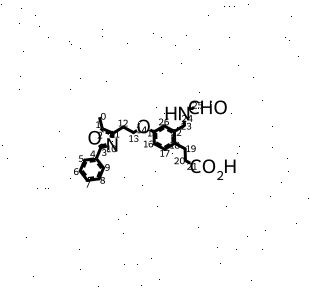 Cc1oc(-c2ccccc2)nc1CCOc1ccc(CCC(=O)O)c(CNC=O)c1